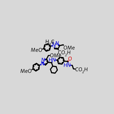 COCC1=N[N+](C)(c2ccc(OC)cc2)C=C1C(=O)O.COCc1nn(-c2ccc(OC)cc2)cc1C(Nc1ccc(C(=O)NCCC(=O)O)cc1)C1CCCCC1